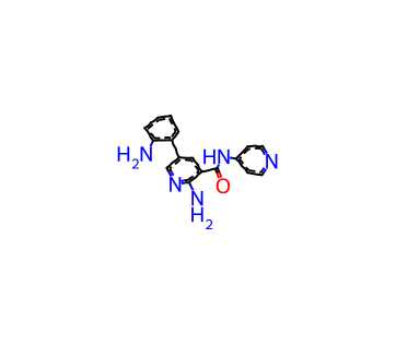 Nc1ccccc1-c1cnc(N)c(C(=O)Nc2ccncc2)c1